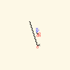 CCCCCCCCCCCCCCCCC[C](=O)[K].NCC(=O)O